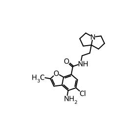 Cc1cc2c(N)c(Cl)cc(C(=O)NCCC34CCCN3CCC4)c2o1